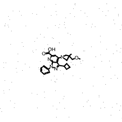 COCC1(C)CN(c2cc(C(=O)O)nc3c2c(C2CCC2)nn3-c2ccccc2)C1